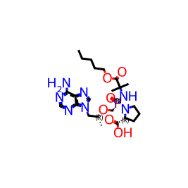 CCCCCOC(=O)C(C)(C)N[P@](=O)(CO[C@H](C)Cn1cnc2c(N)ncnc21)N1CCC[C@@H]1C(=O)O